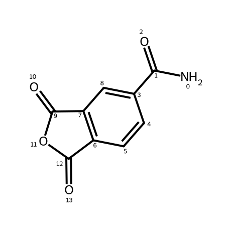 NC(=O)c1ccc2c(c1)C(=O)OC2=O